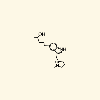 CC(O)CCCc1ccc2[nH]cc(C[C@H]3CCCN3C)c2c1